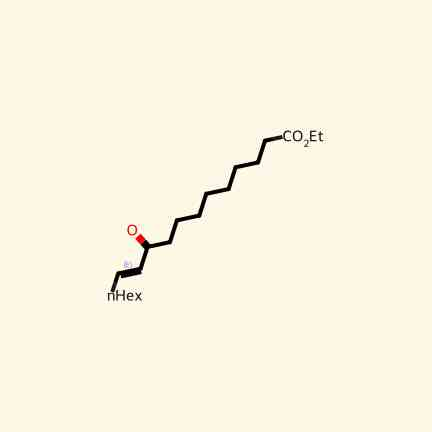 CCCCCC/C=C/C(=O)CCCCCCCCC(=O)OCC